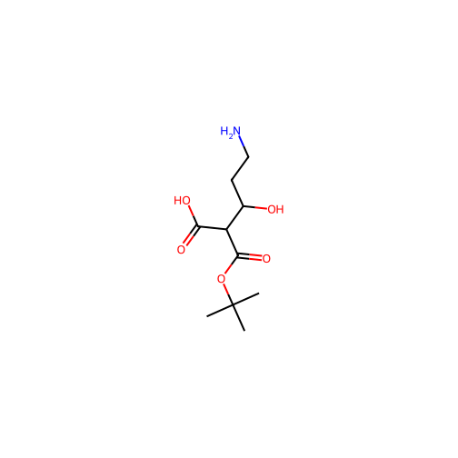 CC(C)(C)OC(=O)C(C(=O)O)C(O)CCN